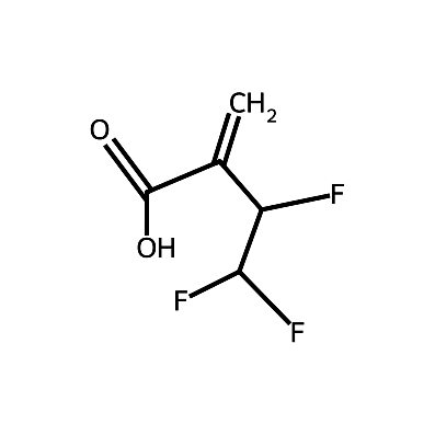 C=C(C(=O)O)C(F)C(F)F